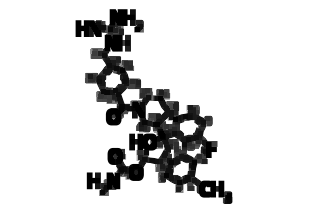 Cc1cccc(-c2c(F)cccc2C(O)(CCCOC(N)=O)[C@@H]2CCCN(C(=O)c3ccc(CNC(=N)N)cc3)C2)c1